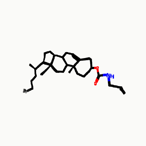 C=CCNC(=O)OC1CC[C@@]2(C)C(=CCC3C2CC[C@@]2(C)C3CC[C@@H]2[C@H](C)CCCC(C)C)C1